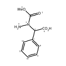 COC(=O)N(N)C(C(=O)O)c1ccccc1